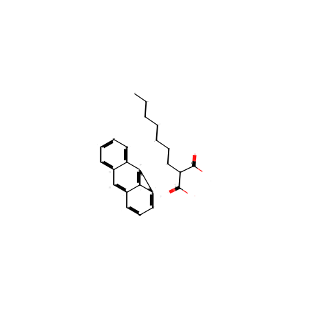 CCCCCCCC(C(=O)O)C(=O)O.c1ccc2c3c4c-3cccc4cc2c1